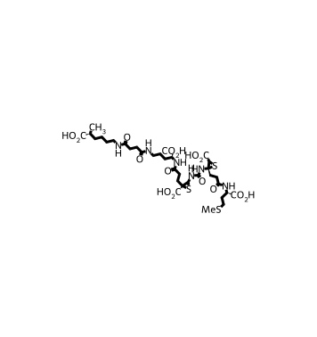 CSCC[C@H](NC(=O)CC[C@]1(NC(=O)NC2S[C@@]2(CCC(=O)N[C@H](CCCNC(=O)CCC(=O)NCCCC[C@@H](C)C(=O)O)C(=O)O)C(=O)O)SC1C(=O)O)C(=O)O